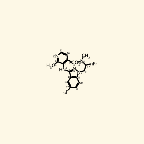 CCCC(Cn1nc(Nc2c(C(=O)O)ccnc2C)c2cc(F)ccc21)N(C)C